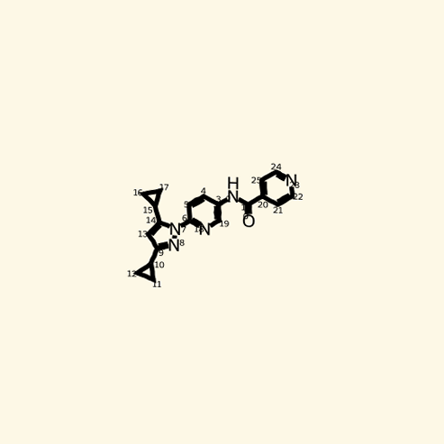 O=C(Nc1ccc(-n2nc(C3CC3)cc2C2CC2)nc1)c1ccncc1